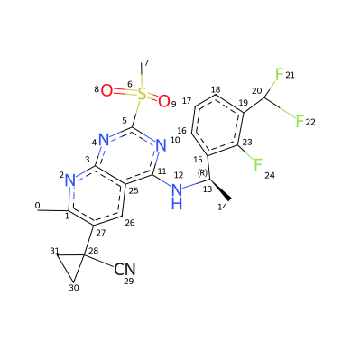 Cc1nc2nc(S(C)(=O)=O)nc(N[C@H](C)c3cccc(C(F)F)c3F)c2cc1C1(C#N)CC1